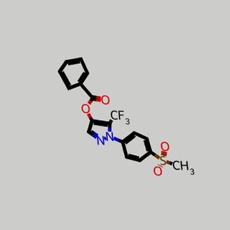 CS(=O)(=O)c1ccc(-n2ncc(OC(=O)c3ccccc3)c2C(F)(F)F)cc1